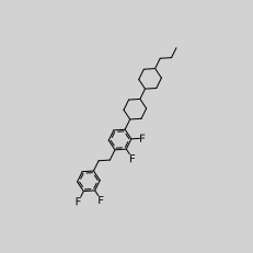 CCCC1CCC(C2CCC(c3ccc(CCc4ccc(F)c(F)c4)c(F)c3F)CC2)CC1